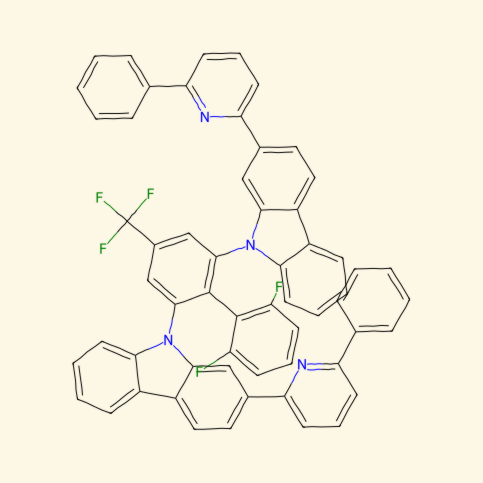 Fc1cccc(F)c1-c1c(-n2c3ccccc3c3ccc(-c4cccc(-c5ccccc5)n4)cc32)cc(C(F)(F)F)cc1-n1c2ccccc2c2ccc(-c3cccc(-c4ccccc4)n3)cc21